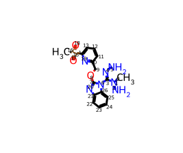 CN(N)/C(=N\N)n1c(OCc2cccc(S(C)(=O)=O)n2)nc2ccccc21